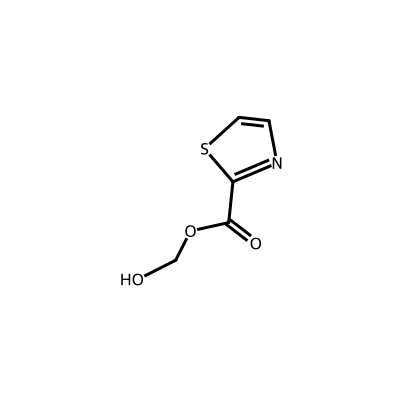 O=C(OCO)c1nccs1